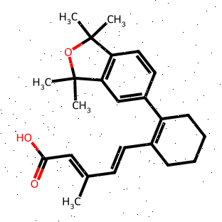 CC(C=CC1=C(c2ccc3c(c2)C(C)(C)OC3(C)C)CCCC1)=CC(=O)O